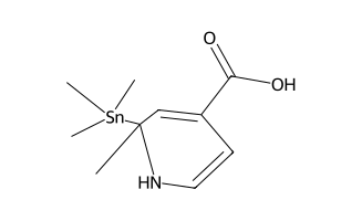 C[C]1([Sn]([CH3])([CH3])[CH3])C=C(C(=O)O)C=CN1